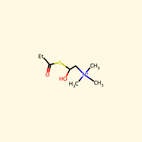 CCC(=O)SC(O)C[N+](C)(C)C